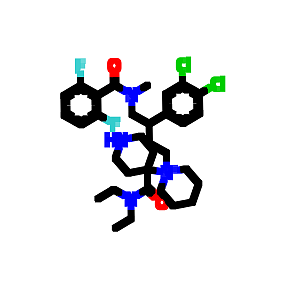 CCN(CC)C(=O)C1([N+]2(CCC(CN(C)C(=O)c3c(F)cccc3F)c3ccc(Cl)c(Cl)c3)CCCCC2)CCNCC1